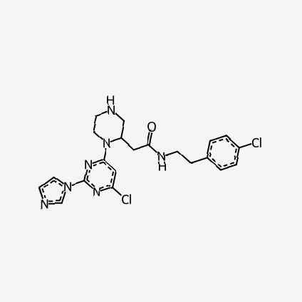 O=C(CC1CNCCN1c1cc(Cl)nc(-n2ccnc2)n1)NCCc1ccc(Cl)cc1